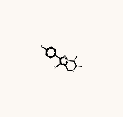 C[C@H]1OCc2c(Br)c(-c3ccc(F)cc3)nn2[C@H]1C